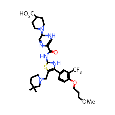 COCCCOc1ccc(C2=C(CN3CCCC(C)(C)C3)SC(NC(=O)C3=CNC(N4CCC(C(=O)O)CC4)C=N3)N2)cc1C(F)(F)F